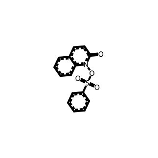 O=c1ccc2ccccc2n1OS(=O)(=O)c1ccccc1